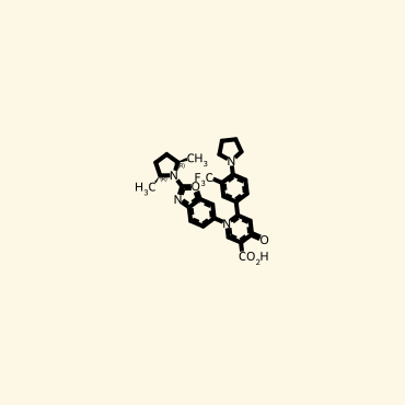 C[C@@H]1CC[C@@H](C)N1c1nc2ccc(-n3cc(C(=O)O)c(=O)cc3-c3ccc(N4CCCC4)c(C(F)(F)F)c3)cc2o1